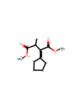 CCCCOC(=O)C(=C1CCCC1)C(C)C(=O)OCCCC